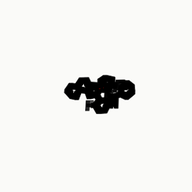 CC(C)c1cccc(C(C)C)c1-n1c(-c2ccccc2)nc2ccc(F)c(-c3cc4c(ccc5ccccc54)cc3O)c21